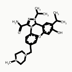 CC(C)c1cc(C2N(c3ccc(CN4CCN(C)CC4)cc3)C(C(N)=O)=NN2C(C)C)c(O)cc1O